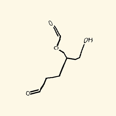 O=CCCC(CO)OC=O